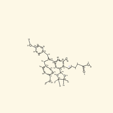 COC(=O)CC/C=C/c1c(B2OC(C)(C)C(C)(C)O2)cc(N(Cc2ccc(OC)cc2)Cc2ccc(OC)cc2)nc1Cl